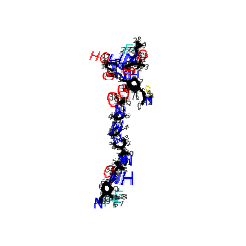 Cc1ncsc1-c1ccc(CNC(=O)[C@@H]2C[C@@H](O)CN2C(=O)[C@@H](NC(=O)C2(F)CC2)C(C)(C)C)c(OCC(=O)N2CC(N3CC(N4CCC(c5cnn(C(C)(C)C(=O)Nc6ccc(C#N)c(C(F)(F)F)c6)c5)CC4)C3)C2)c1